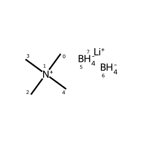 C[N+](C)(C)C.[BH4-].[BH4-].[Li+]